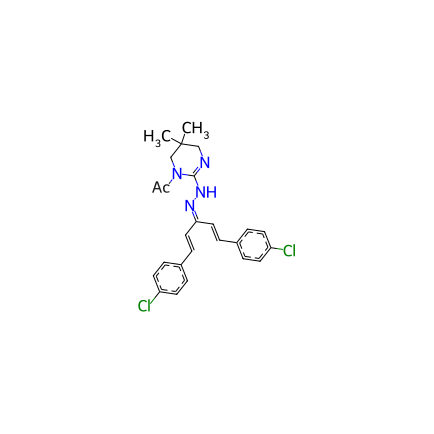 CC(=O)N1CC(C)(C)CN=C1NN=C(C=Cc1ccc(Cl)cc1)C=Cc1ccc(Cl)cc1